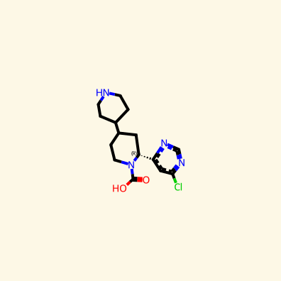 O=C(O)N1CCC(C2CCNCC2)C[C@@H]1c1cc(Cl)ncn1